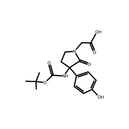 CC(C)(C)OC(=O)NC1(c2ccc(O)cc2)CCN(CC(=O)O)C1=O